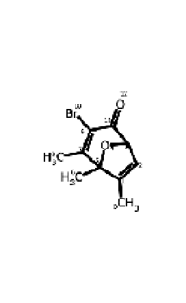 CC1=CC2OC1(C)C(C)=C(Br)C2=O